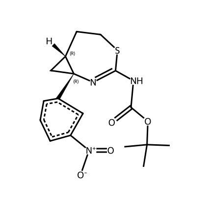 CC(C)(C)OC(=O)NC1=N[C@]2(c3cccc([N+](=O)[O-])c3)C[C@@H]2CCS1